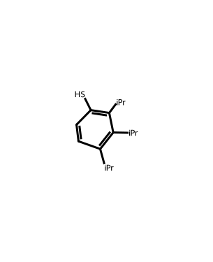 CC(C)c1ccc(S)c(C(C)C)c1C(C)C